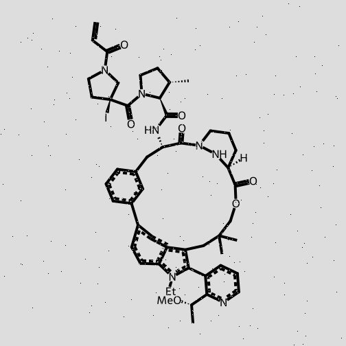 C=CC(=O)N1CC[C@@](I)(C(=O)N2CC[C@H](C)[C@H]2C(=O)N[C@H]2Cc3cccc(c3)-c3ccc4c(c3)c(c(-c3cccnc3[C@H](C)OC)n4CC)CC(C)(C)COC(=O)[C@@H]3CCCN(N3)C2=O)C1